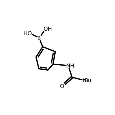 CC(C)(C)C(=O)Nc1cccc(B(O)O)c1